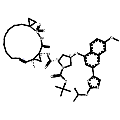 C=C1NS(=O)(=O)C2(CCCCCCC/C=C/[C@@H]3C[C@]13NC(=O)[C@@H]1C[C@@H](Oc3cc(-c4csc(NC(C)C)n4)nc4cc(OC)ccc34)CN1C(=O)OC(C)(C)C)CC2